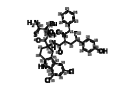 CC[C@H](C)[C@H](NC(=O)[C@@]1(NC(=O)C(CC(F)c2ccc(O)cc2)N(Cc2ccccc2)C(=O)O)CCc2[nH]c3c(Cl)cc(Cl)cc3c2C1)C(N)=S